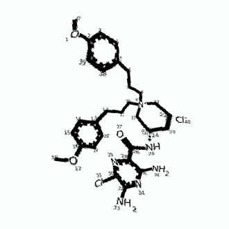 COc1ccc(CCC[N+]2(CCCc3ccc(OC)cc3)CCC[C@H](NC(=O)c3nc(Cl)c(N)nc3N)C2)cc1.[Cl-]